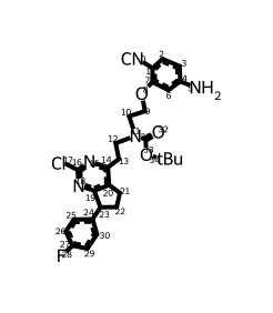 [C-]#[N+]c1ccc(N)cc1OCCN(CCc1nc(Cl)nc2c1CCC2c1ccc(F)cc1)C(=O)OC(C)(C)C